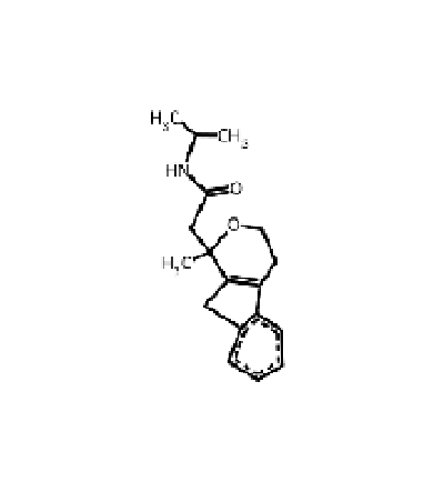 CC(C)NC(=O)CC1(C)OCCC2=C1Cc1ccccc12